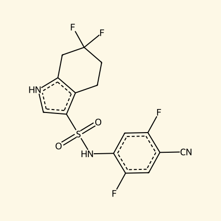 N#Cc1cc(F)c(NS(=O)(=O)c2c[nH]c3c2CCC(F)(F)C3)cc1F